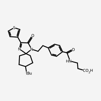 CC(C)(C)C1CCC2(CC1)N=C(c1ccsc1)C(=O)N2CCc1ccc(C(=O)NCCC(=O)O)cc1